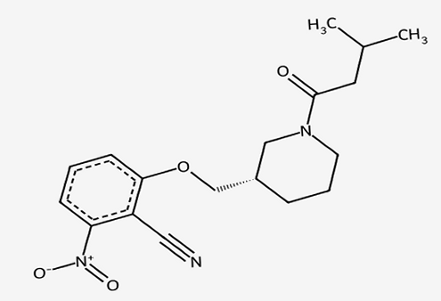 CC(C)CC(=O)N1CCC[C@H](COc2cccc([N+](=O)[O-])c2C#N)C1